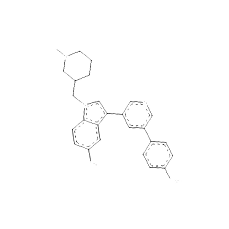 COc1ccc(-c2cncc(-c3cn(CC4CCCN(C)C4)c4ccc(C#N)cc34)c2)cc1